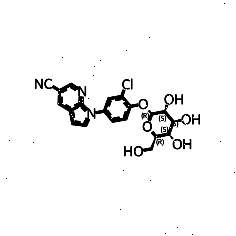 N#Cc1cnc2c(ccn2-c2ccc(O[C@H]3O[C@H](CO)[C@@H](O)[C@H](O)[C@@H]3O)c(Cl)c2)c1